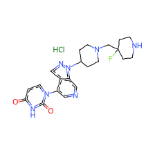 Cl.O=c1ccn(-c2cncc3c2cnn3C2CCN(CC3(F)CCNCC3)CC2)c(=O)[nH]1